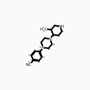 CC1CNCCC1N1CCN(c2ccc(C#N)cc2)CC1